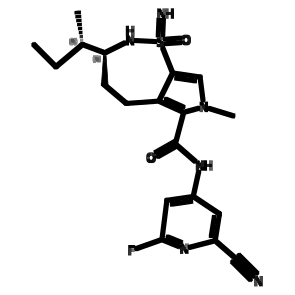 CC[C@H](C)[C@@H]1CCc2c(cn(C)c2C(=O)Nc2cc(F)nc(C#N)c2)S(=N)(=O)N1